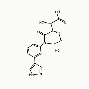 Cl.O=C(O)[C@H](O)[C@H]1OCCN(c2cccc(-c3cn[nH]c3)c2)C1=O